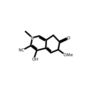 COC1C=C2C(=CN(C)C(C#N)=C2O)CC1=O